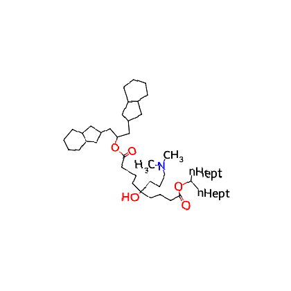 CCCCCCCC(CCCCCCC)OC(=O)CCCC(O)(CCCC(=O)OC(CC1CC2CCCCC2C1)CC1CC2CCCCC2C1)CCCN(C)C